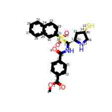 COC(=O)c1ccc(C(=O)NC([C@@H]2C[C@@H](S)CN2)S(=O)(=O)c2ccc3ccccc3c2)cc1